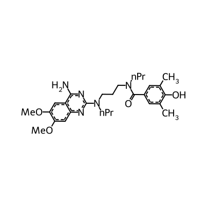 CCCN(CCCN(CCC)c1nc(N)c2cc(OC)c(OC)cc2n1)C(=O)c1cc(C)c(O)c(C)c1